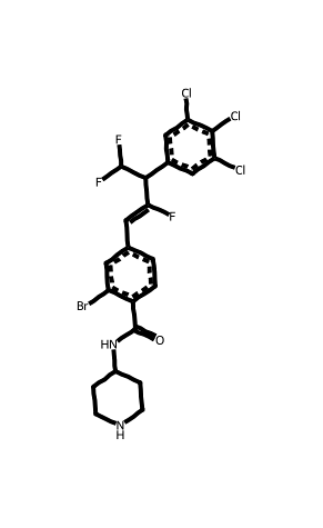 O=C(NC1CCNCC1)c1ccc(C=C(F)C(c2cc(Cl)c(Cl)c(Cl)c2)C(F)F)cc1Br